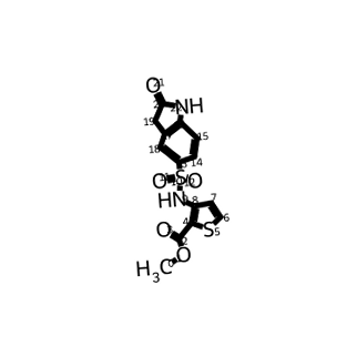 COC(=O)c1sccc1NS(=O)(=O)c1ccc2c(c1)CC(=O)N2